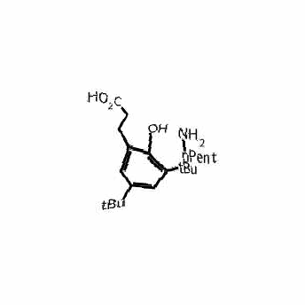 CC(C)(C)c1cc(CCC(=O)O)c(O)c(C(C)(C)C)c1.CCCCCN